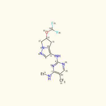 CCNc1nc(Nc2cnn3c2CC(OC(F)F)C3)ncc1C(F)(F)F